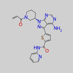 C=CC(=O)N1CCC[C@@H](n2nc(-c3ccc(C(=O)Nc4ccccn4)s3)c3c(N)ncnc32)C1